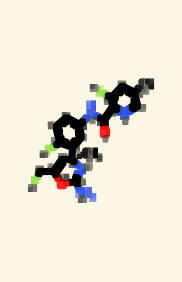 C[C@@]1(c2cc(NC(=O)c3ncc(C#N)cc3F)ccc2F)C=C(CF)OC(N)=N1